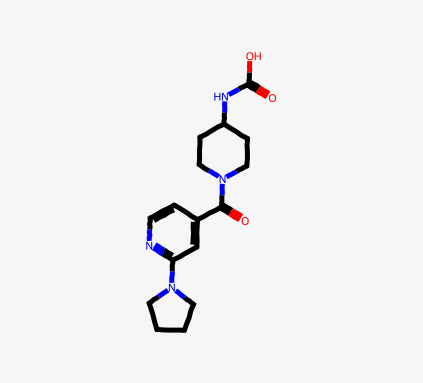 O=C(O)NC1CCN(C(=O)c2ccnc(N3CCCC3)c2)CC1